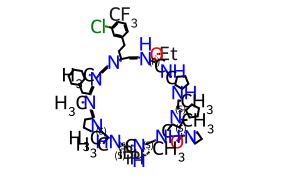 CCO[C@@H]1CNCC2(CCCC2)NC(C)[C@H](C2CCCC2)N2C(C)[C@H](C(=O)N3CCC3)C2CNC(C)[C@H](CC(C)C)NC[C@H]([C@@H](C)CC)NC(C)[C@H](C)N2CCCC2=CN(C)C(CC2CCCCC2)=CN(C)C=CN=C(CCc2ccc(C(F)(F)F)c(Cl)c2)C=CN1